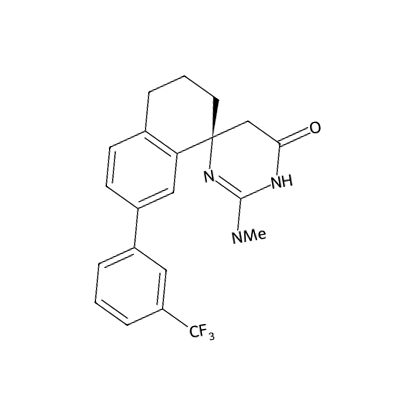 CNC1=N[C@@]2(CCCc3ccc(-c4cccc(C(F)(F)F)c4)cc32)CC(=O)N1